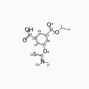 CCOC(=O)c1cc(OC(=S)N(C)C)cc(C(=O)O)c1